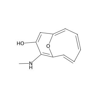 CNC1=C2/C=C/C=C\C=C(\C=C1O)O2